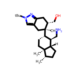 C[C@H]1CC[C@H]2[C@H](CN)[C@@H]([C@@]3(C)Cc4cn(C(C)(C)C)nc4C[C@@H]3CO)CC[C@]12C